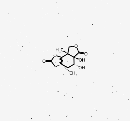 C[C@@H]1CC[C@]23OC(=O)C[C@]12C[C@@H](O)[C@@]1(O)C(=O)OC[C@@]31C